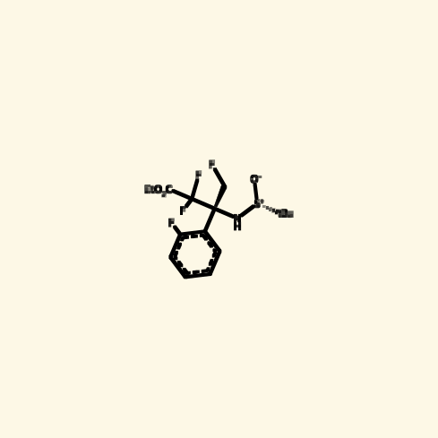 CCOC(=O)C(F)(F)[C@](CF)(N[S@+]([O-])C(C)(C)C)c1ccccc1F